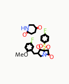 COc1ccc(F)cc1CC1CN2C(=O)CC2(S(=O)(=O)c2ccc(F)cc2)C1=O.O=C1CCNC(=O)CC1